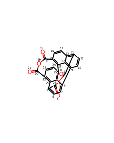 O=c1oc(=O)c2ccc3c4ccc1c1ccc5c(=O)oc(=O)c6ccc(c5c14)c3c26